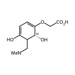 CNCC1C(O)=CC=C(OCC(=O)O)[C@@H]1O